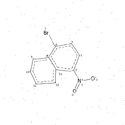 O=[N+]([O-])c1ccc(Br)c2ccccc12